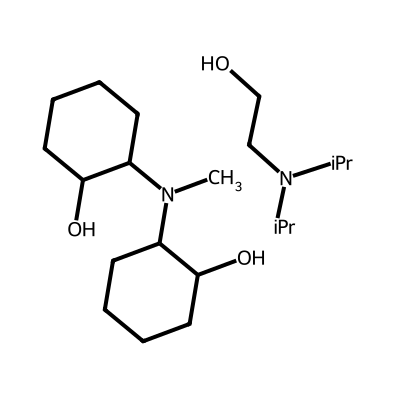 CC(C)N(CCO)C(C)C.CN(C1CCCCC1O)C1CCCCC1O